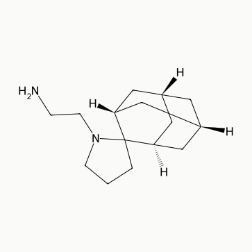 NCCN1CCCC12[C@H]1C[C@H]3C[C@H](C1)C[C@H]2C3